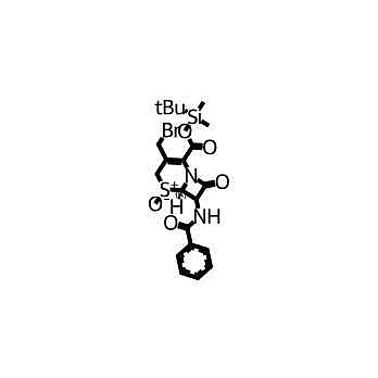 CC(C)(C)[Si](C)(C)OC(=O)C1=C(CBr)C[S+]([O-])[C@@H]2C(NC(=O)c3ccccc3)C(=O)N12